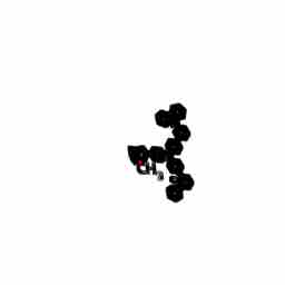 C[C@H]1CC2CC3CC(c4ccc(N(c5ccc(-c6cccc(-n7c8ccccc8c8ccccc87)c6)cc5)c5ccc(-c6cccc7c6sc6ccccc67)cc5)cc4)(C1)C[C@H]23